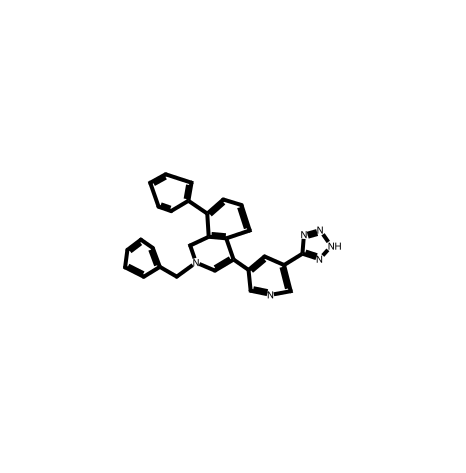 C1=C(c2cncc(-c3nn[nH]n3)c2)c2cccc(-c3ccccc3)c2CN1Cc1ccccc1